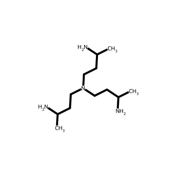 CC(N)CCN(CCC(C)N)CCC(C)N